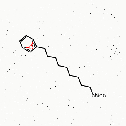 CCCCCCCCCCCCCCCCCCc1cc2ccc1o2